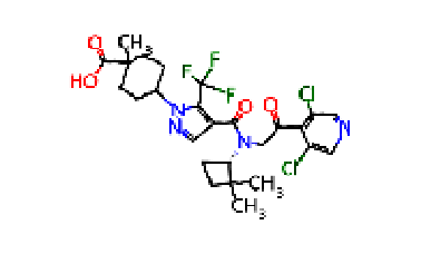 CC1(C(=O)O)CCC(n2ncc(C(=O)N(CC(=O)c3c(Cl)cncc3Cl)[C@H]3CCC3(C)C)c2C(F)(F)F)CC1